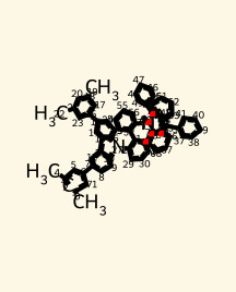 Cc1cc(C)cc(-c2ccc3c(c2)c2cc(-c4cc(C)cc(C)c4)ccc2n3-c2cccc(-c3cc(-c4ccccc4)nc(-c4ccccc4)n3)c2-c2ccccc2-n2c3ccccc3c3ccccc32)c1